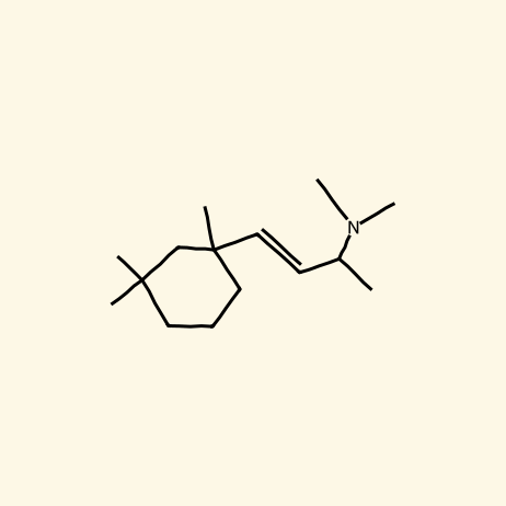 CC(C=CC1(C)CCCC(C)(C)C1)N(C)C